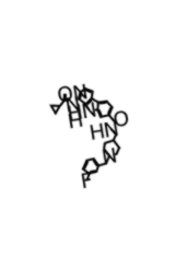 O=C(NCC1CCN(Cc2cccc(F)c2)CC1)c1ccc2c(c1)[nH]c1c(NC(=O)C3CC3)nccc12